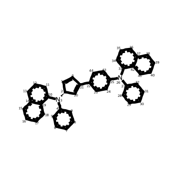 C1=C[C@@H](N(c2ccccc2)c2cccc3ccccc23)C=C1c1ccc(N(c2ccccc2)c2cccc3ccccc23)cc1